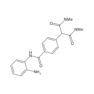 CNC(=O)C(C(=O)NC)c1ccc(C(=O)Nc2ccccc2N)cc1